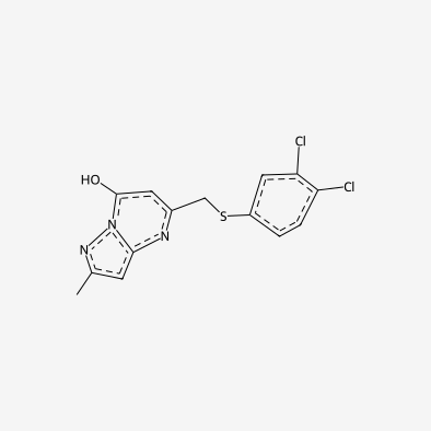 Cc1cc2nc(CSc3ccc(Cl)c(Cl)c3)cc(O)n2n1